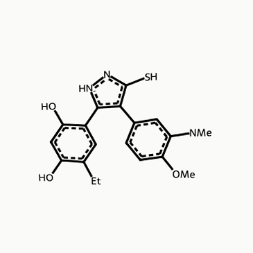 CCc1cc(-c2[nH]nc(S)c2-c2ccc(OC)c(NC)c2)c(O)cc1O